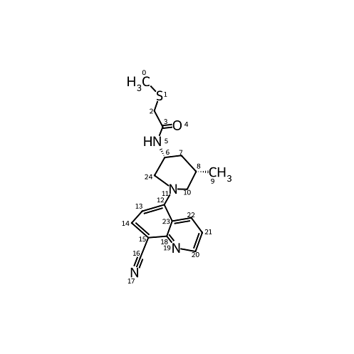 CSCC(=O)N[C@@H]1C[C@H](C)CN(c2ccc(C#N)c3ncccc23)C1